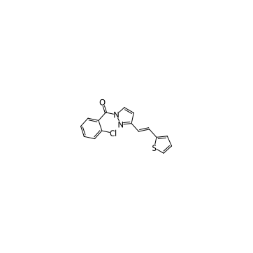 O=C(c1ccccc1Cl)n1ccc(/C=C/c2cccs2)n1